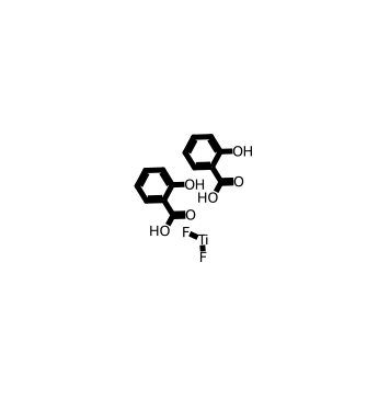 O=C(O)c1ccccc1O.O=C(O)c1ccccc1O.[F][Ti][F]